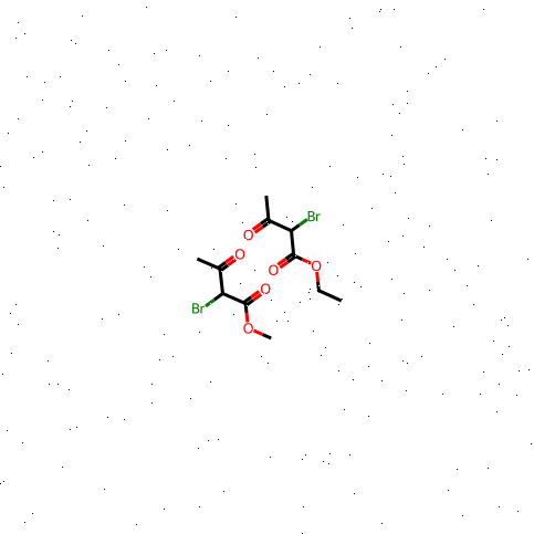 CCOC(=O)C(Br)C(C)=O.COC(=O)C(Br)C(C)=O